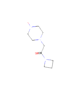 O=C(CN1CCN(O)CC1)N1C[CH]C1